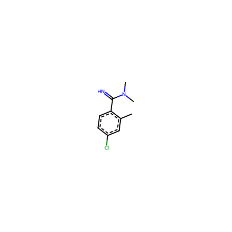 Cc1cc(Cl)ccc1C(=N)N(C)C